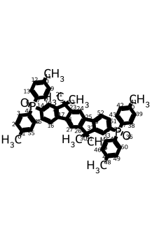 Cc1ccc(P(=O)(c2ccc(C)cc2)c2ccc3c(c2)C(C)(C)c2cc4c(cc2-3)C(C)(C)c2cc(P(=O)(c3ccc(C)cc3)c3ccc(C)cc3)ccc2-4)cc1